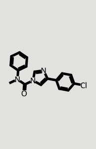 CN(C(=O)n1cnc(-c2ccc(Cl)cc2)c1)c1ccccc1